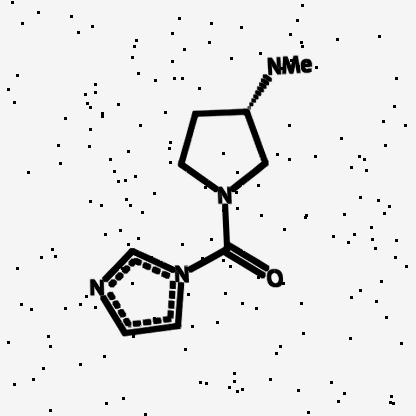 CN[C@H]1CCN(C(=O)n2ccnc2)C1